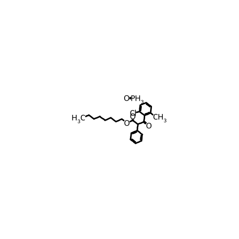 CCCCCCCCOC(=O)C(C(=O)c1c(C)cccc1Cl)c1ccccc1.O=[PH3]